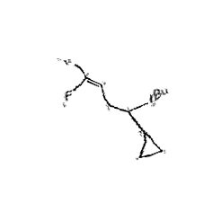 CC(C)(C)C(CC=C(F)F)C1CC1